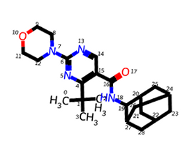 CC(C)(C)c1nc(N2CCOCC2)ncc1C(=O)NC1C2CC3CC(C2)CC1C3